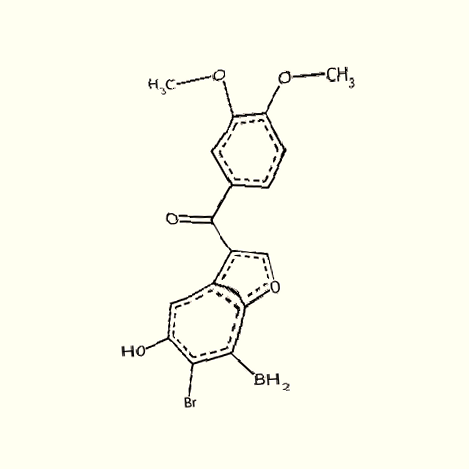 Bc1c(Br)c(O)cc2c(C(=O)c3ccc(OC)c(OC)c3)coc12